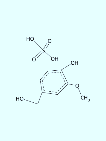 COc1cc(CO)ccc1O.O=S(=O)(O)O